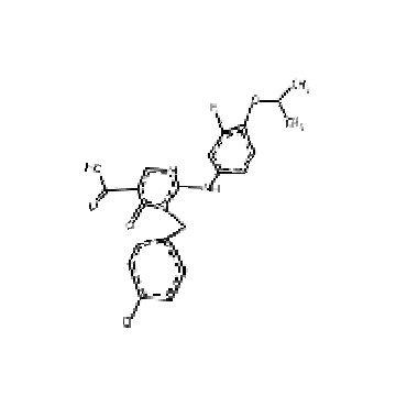 CC(C)Oc1ccc(Nc2ncc(C(=O)O)c(=O)n2Cc2ccc(Cl)cc2)cc1F